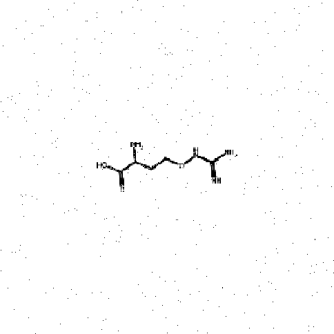 N=C(N)NOCCC(N)C(=O)O